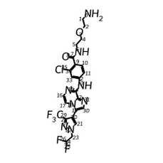 NCCOCCNC(=O)c1ccc(Nc2nccn3c(-c4cn(CC(F)F)nc4C(F)(F)F)cnc23)cc1Cl